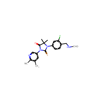 CC1(C)C(=O)N(c2cnc(C#N)c(C(F)(F)F)c2)C(=S)N1c1ccc(CNC=O)c(F)c1